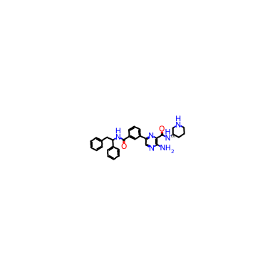 Nc1ncc(-c2cccc(C(=O)NC(Cc3ccccc3)c3ccccc3)c2)nc1C(=O)N[C@H]1CCCNC1